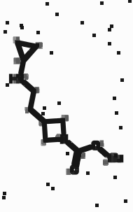 CC(C)(C)OC(=O)N1CC(CCNC2CC2)C1